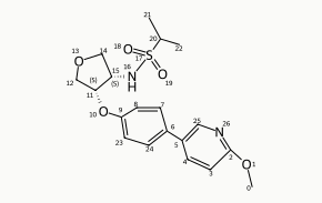 COc1ccc(-c2ccc(O[C@@H]3COC[C@@H]3NS(=O)(=O)C(C)C)cc2)cn1